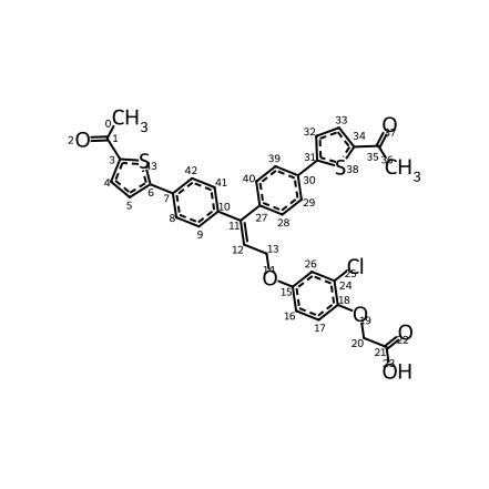 CC(=O)c1ccc(-c2ccc(C(=CCOc3ccc(OCC(=O)O)c(Cl)c3)c3ccc(-c4ccc(C(C)=O)s4)cc3)cc2)s1